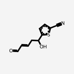 N#Cc1ccc(C(O)CC=CC=O)s1